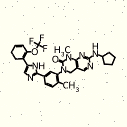 Cc1ccc(-c2ncc(C3=C(OC(F)(F)F)C=CCC3)[nH]2)cc1N1Cc2cnc(NC3CCCC3)nc2N(C)C1=O